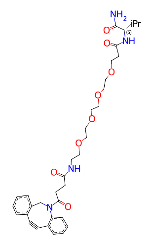 CC(C)[C@H](NC(=O)CCOCCOCCOCCOCCNC(=O)CCC(=O)N1Cc2ccccc2C#Cc2ccccc21)C(N)=O